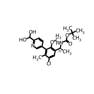 COc1c([C@H](C)NC(=O)OC(C)(C)C)cc(Cl)c(C)c1-c1ccc(C(O)O)nc1